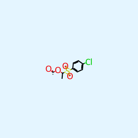 CC(O[C]=O)S(=O)(=O)c1ccc(Cl)cc1